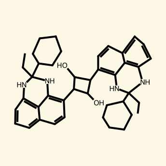 CCC1(C2CCCCC2)Nc2cccc3ccc(C4C(O)C(c5ccc6cccc7c6c5NC(CC)(C5CCCCC5)N7)C4O)c(c23)N1